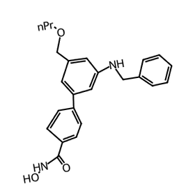 CCCOCc1cc(NCc2ccccc2)cc(-c2ccc(C(=O)NO)cc2)c1